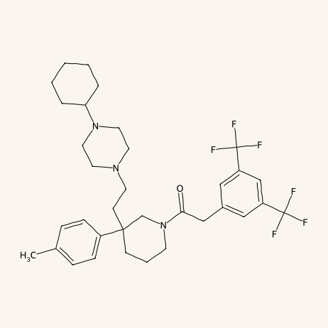 Cc1ccc(C2(CCN3CCN(C4CCCCC4)CC3)CCCN(C(=O)Cc3cc(C(F)(F)F)cc(C(F)(F)F)c3)C2)cc1